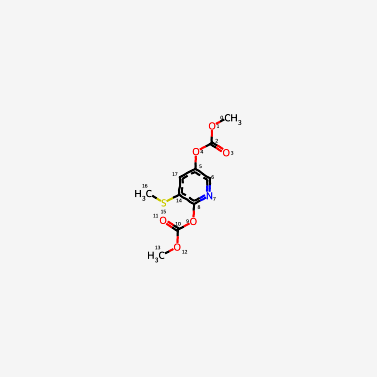 COC(=O)Oc1cnc(OC(=O)OC)c(SC)c1